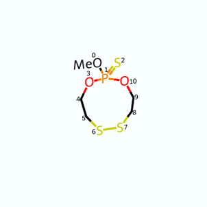 COP1(=S)OCCSSCCO1